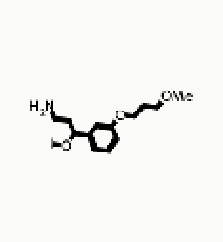 COCCCOc1cccc(C(CCN)OI)c1